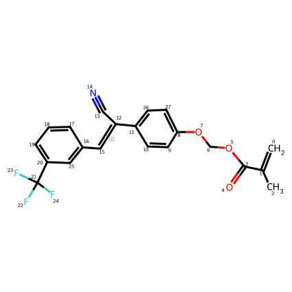 C=C(C)C(=O)OCOc1ccc(/C(C#N)=C/c2cccc(C(F)(F)F)c2)cc1